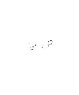 CCC1C(CNC(=O)c2ccnn2C(C)C)=NOC1Cc1cccc(C)c1